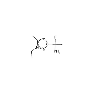 CCn1nc(C(C)(F)P)cc1C